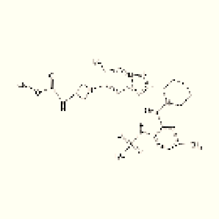 Cc1ccc(NS(C)(=O)=O)c(C(=O)N2CCCC[C@H]2c2cc3nc(N4CC(NC(=O)OC(C)(C)C)C4)c(C)cn3n2)c1